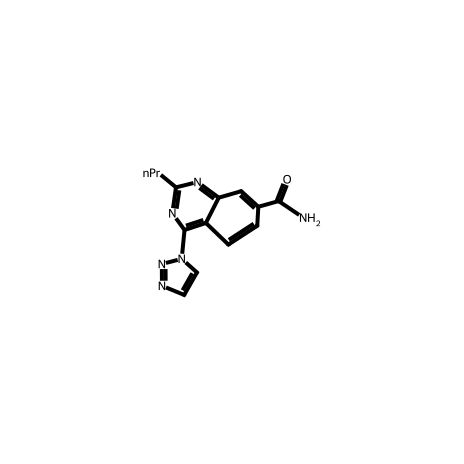 CCCc1nc(-n2ccnn2)c2ccc(C(N)=O)cc2n1